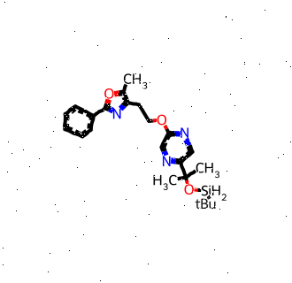 Cc1oc(-c2ccccc2)nc1CCOc1cnc(C(C)(C)O[SiH2]C(C)(C)C)cn1